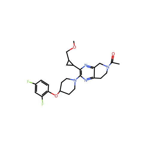 COCC1CC1c1nc2c(nc1N1CCC(Oc3ccc(F)cc3F)CC1)CCN(C(C)=O)C2